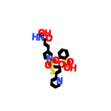 O=C(/C=C/c1ccn(S(=O)(=O)c2ccc(-c3ccccn3)s2)c1)NO.O=S(=O)(O)c1ccccc1